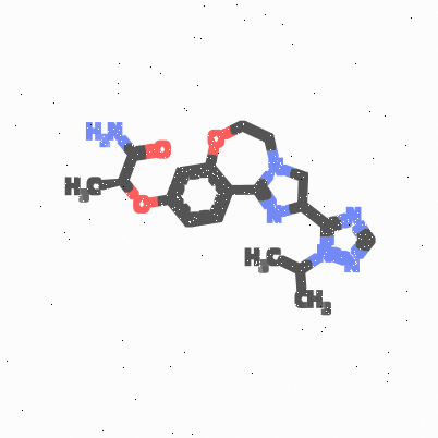 CC(C)n1ncnc1C1CN2CCOc3cc(O[C@@H](C)C(N)=O)ccc3C2=N1